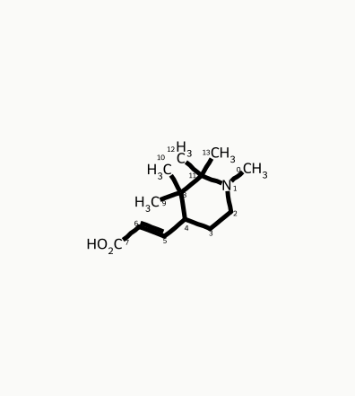 CN1CCC(C=CC(=O)O)C(C)(C)C1(C)C